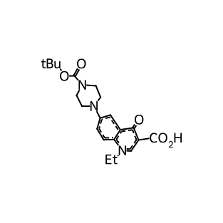 CCn1cc(C(=O)O)c(=O)c2cc(N3CCN(C(=O)OC(C)(C)C)CC3)ccc21